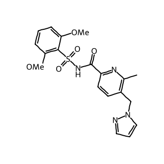 COc1cccc(OC)c1S(=O)(=O)NC(=O)c1ccc(Cn2cccn2)c(C)n1